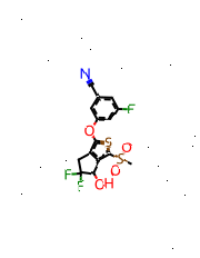 CS(=O)(=O)c1sc(Oc2cc(F)cc(C#N)c2)c2c1C(O)C(F)(F)C2